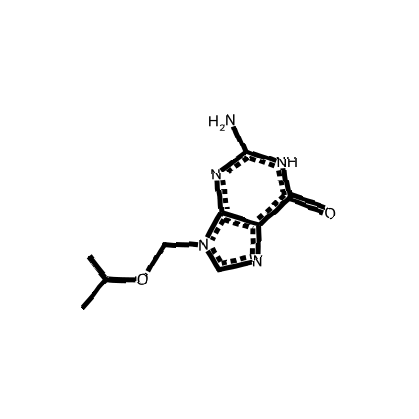 CC(C)OCn1cnc2c(=O)[nH]c(N)nc21